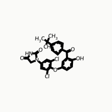 CC(C)(C)c1ccc(C(=O)c2cc(Oc3c(Cl)cc(N4CC(=O)NC4=O)cc3Cl)ccc2O)cc1